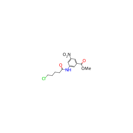 COC(=O)c1cc(NC(=O)CCCCCl)cc([N+](=O)[O-])c1